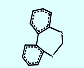 [c]1cccc2c1-c1ccccc1SCS2